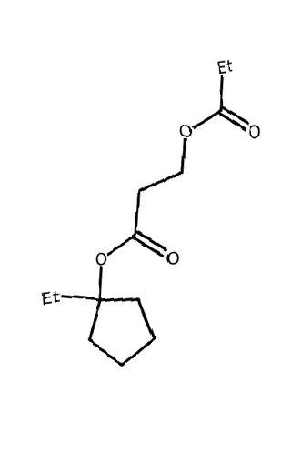 CCC(=O)OCCC(=O)OC1(CC)CCCC1